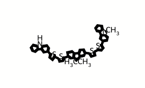 Cn1c2ccccc2c2cc(-c3ccc(-c4ccc(-c5ccc6c(c5)C(C)(C)c5cc(-c7ccc(-c8ccc(-c9ccc%10[nH]c%11ccccc%11c%10c9)s8)s7)ccc5-6)s4)s3)ccc21